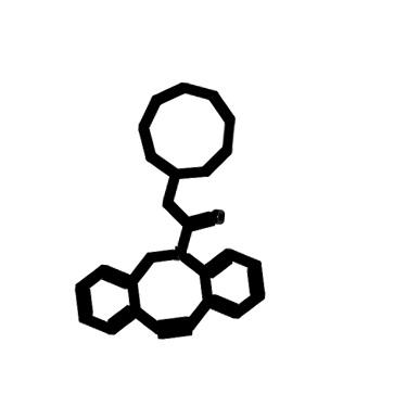 O=C(CC1CCCCCCCC1)N1Cc2ccccc2C#Cc2ccccc21